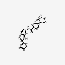 O=C(Nc1ccc(Cl)c(NC(=O)c2ccccc2)c1)c1ccc(N2CCCNS2(=O)=O)cc1